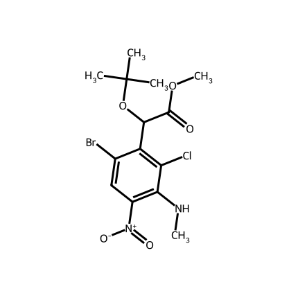 CNc1c([N+](=O)[O-])cc(Br)c(C(OC(C)(C)C)C(=O)OC)c1Cl